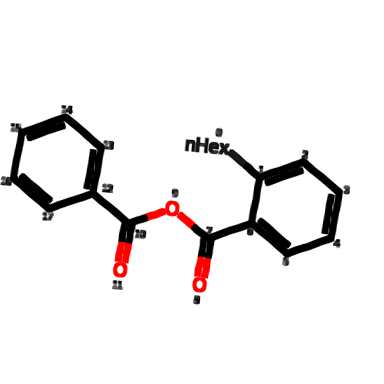 CCCCCCc1ccccc1C(=O)OC(=O)c1ccccc1